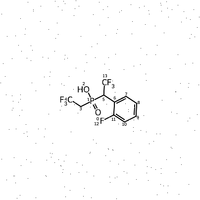 O=P(O)(CC(F)(F)F)C(c1ccccc1F)C(F)(F)F